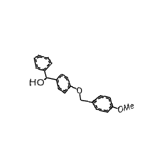 COc1ccc(COc2ccc(C(O)c3ccccc3)cc2)cc1